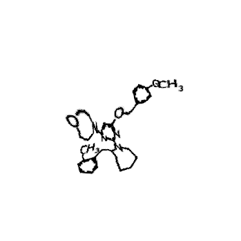 COc1ccc(COc2cc(N3CCOCC3)nc(N3CCCCCC3Cc3ccccc3C)n2)cc1